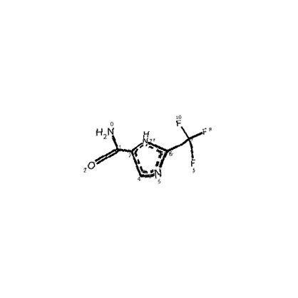 NC(=O)c1cnc(C(F)(F)F)[nH]1